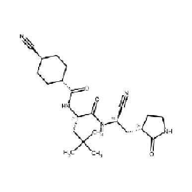 CC(C)(C)C[C@H](NC(=O)[C@H]1CC[C@H](C#N)CC1)C(=O)N[C@@H](C#N)C[C@@H]1CCNC1=O